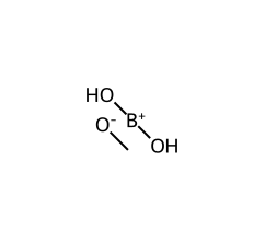 C[O-].O[B+]O